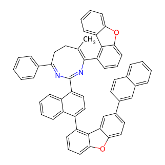 C/C1=C(c2cccc3oc4ccccc4c23)/N=C(c2ccc(-c3cccc4oc5ccc(-c6ccc7ccccc7c6)cc5c34)c3ccccc23)\N=C(\c2ccccc2)CC1